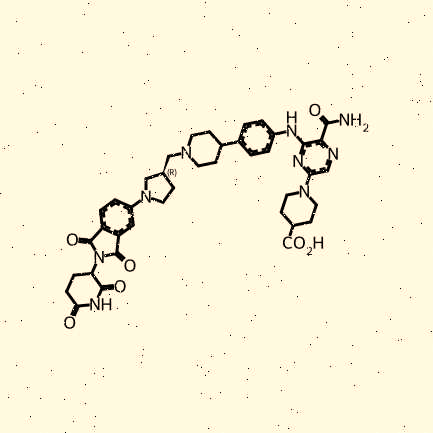 NC(=O)c1ncc(N2CCC(C(=O)O)CC2)nc1Nc1ccc(C2CCN(C[C@H]3CCN(c4ccc5c(c4)C(=O)N(C4CCC(=O)NC4=O)C5=O)C3)CC2)cc1